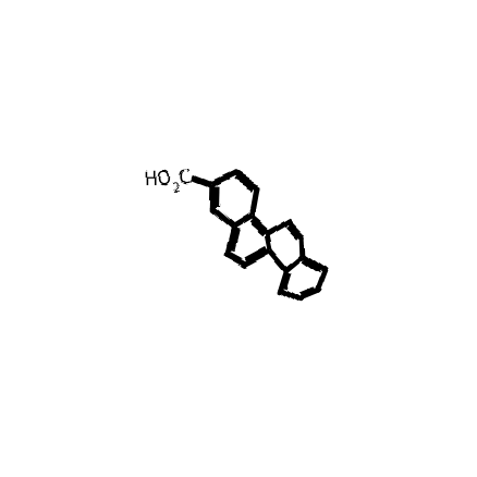 O=C(O)c1ccc2c(ccc3c4ccccc4ccc23)c1